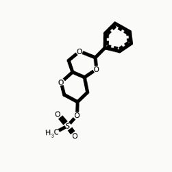 CS(=O)(=O)OC1COC2COC(c3ccccc3)OC2C1